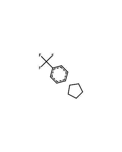 C1CCCC1.FC(F)(F)c1ccccc1